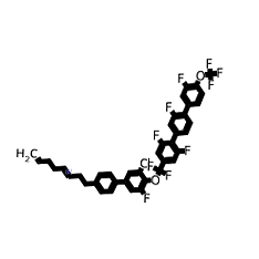 C=CCC/C=C/CCc1ccc(-c2cc(F)c(OC(F)(F)c3cc(F)c(-c4ccc(-c5ccc(OC(F)(F)F)c(F)c5)c(F)c4)c(F)c3)c(Cl)c2)cc1